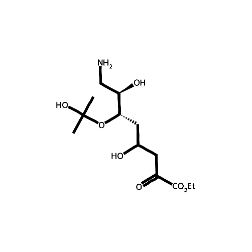 CCOC(=O)C(=O)CC(O)C[C@H](OC(C)(C)O)[C@H](O)CN